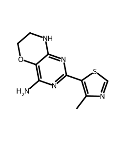 Cc1ncsc1-c1nc(N)c2c(n1)NCCO2